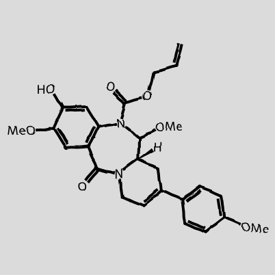 C=CCOC(=O)N1c2cc(O)c(OC)cc2C(=O)N2CC=C(c3ccc(OC)cc3)C[C@H]2C1OC